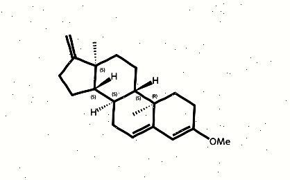 C=C1CC[C@H]2[C@@H]3CC=C4C=C(OC)CC[C@]4(C)[C@H]3CC[C@]12C